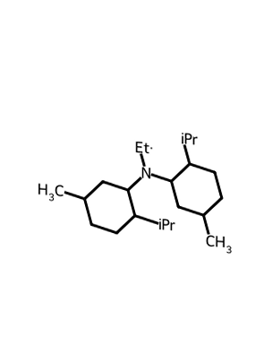 C[CH]N(C1CC(C)CCC1C(C)C)C1CC(C)CCC1C(C)C